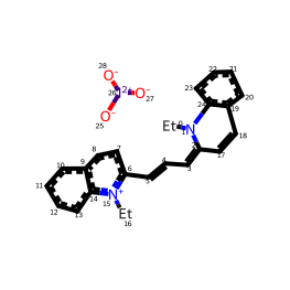 CCN1C(=CC=Cc2ccc3ccccc3[n+]2CC)C=Cc2ccccc21.[O-][I+2]([O-])[O-]